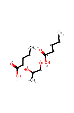 CC(O)CO.CCCCC(=O)O.CCCCC(=O)O